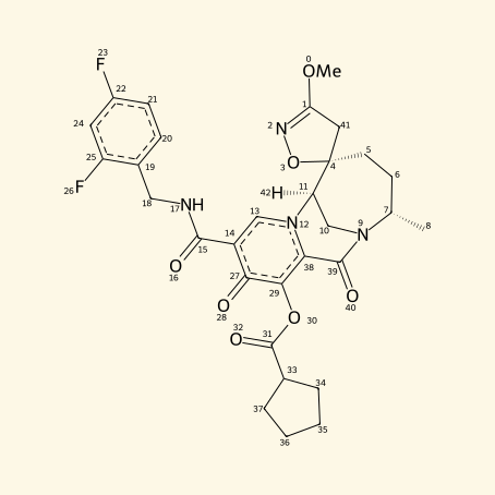 COC1=NO[C@@]2(CC[C@H](C)N3C[C@H]2n2cc(C(=O)NCc4ccc(F)cc4F)c(=O)c(OC(=O)C4CCCC4)c2C3=O)C1